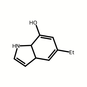 CCC1=CC2C=CNC2C(O)=C1